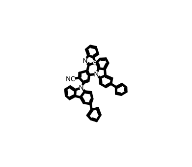 N#Cc1cc(-c2nc3ccccc3s2)c(-n2c3ccccc3c3cc(-c4ccccc4)ccc32)cc1-n1c2ccccc2c2cc(-c3ccccc3)ccc21